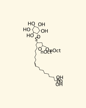 CCCCCCCCOCC(CC(CCCCCC/C=C\CCCCCCCCP(=O)(O)O)SO[C@@H]1[C@@H](O)[C@H](O)[C@@H](O)[C@H](O)[C@@H]1O)OCCCCCCCC